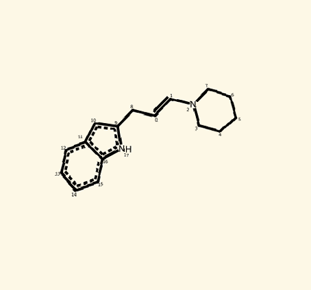 C(=CN1CCCCC1)Cc1cc2ccccc2[nH]1